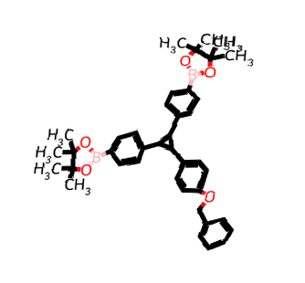 CC1(C)OB(c2ccc(C3C(c4ccc(OCc5ccccc5)cc4)C3c3ccc(B4OC(C)(C)C(C)(C)O4)cc3)cc2)OC1(C)C